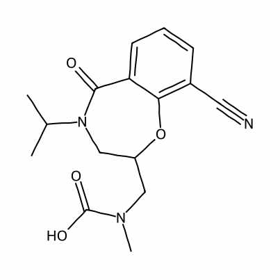 CC(C)N1CC(CN(C)C(=O)O)Oc2c(C#N)cccc2C1=O